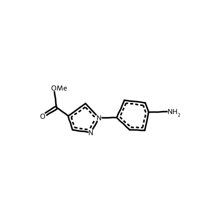 COC(=O)c1cnn(-c2ccc(N)cc2)c1